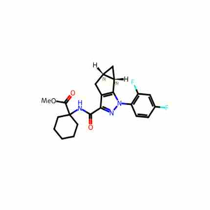 COC(=O)C1(NC(=O)c2nn(-c3ccc(F)cc3F)c3c2C[C@@H]2C[C@H]32)CCCCC1